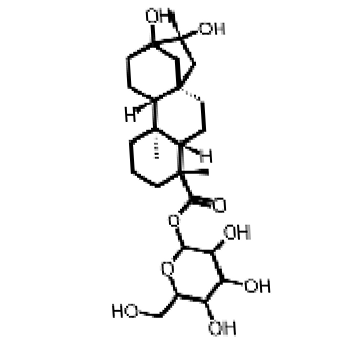 C[C@@]12CCC[C@@](C)(C(=O)OC3OC(CO)C(O)C(O)C3O)[C@H]1CC[C@@]13CC(O)(CC[C@H]12)[C@](C)(O)C3